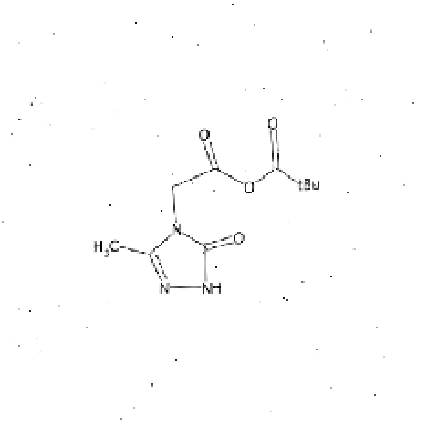 Cc1n[nH]c(=O)n1CC(=O)OC(=O)C(C)(C)C